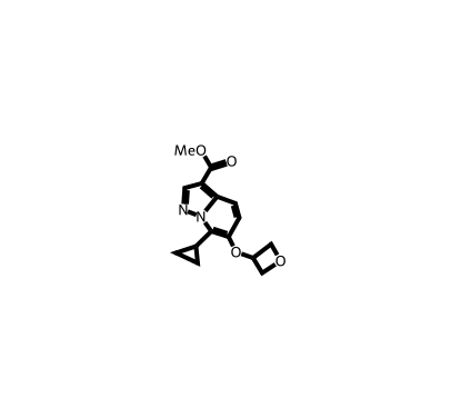 COC(=O)c1cnn2c(C3CC3)c(OC3COC3)ccc12